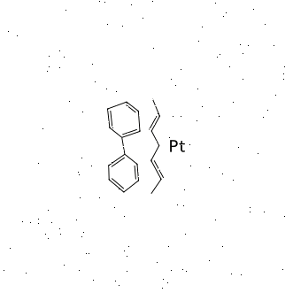 CC=CCC=CC.[Pt].c1ccc(-c2ccccc2)cc1